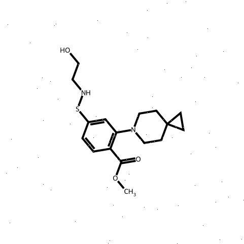 COC(=O)c1ccc(SNCCO)cc1N1CCC2(CC1)CC2